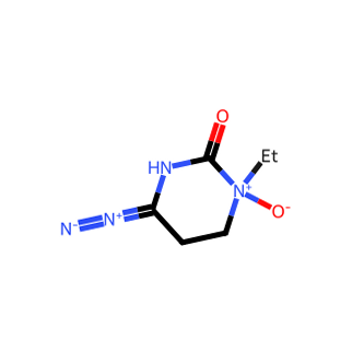 CC[N+]1([O-])CCC(=[N+]=[N-])NC1=O